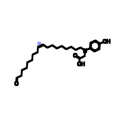 O=CCCCCCCC/C=C\CCCCCCCCN(CC(=O)O)c1ccc(O)cc1